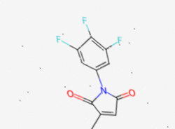 CC1=CC(=O)N(c2cc(F)c(F)c(F)c2)C1=O